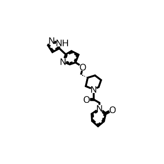 O=C(Cn1ccccc1=O)N1CCC[C@@H](COc2ccc(-c3ccn[nH]3)nc2)C1